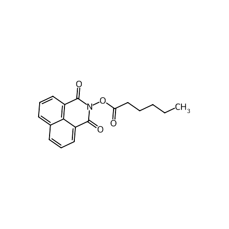 CCCCCC(=O)ON1C(=O)c2cccc3cccc(c23)C1=O